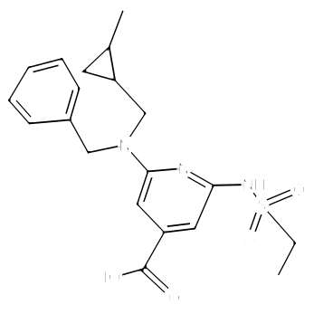 CCS(=O)(=O)Nc1cc(C(=O)O)cc(N(Cc2ccccc2)CC2CC2C)n1